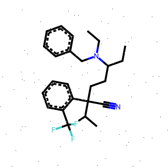 CCC(CCC(C#N)(c1ccccc1C(F)(F)F)C(C)C)N(CC)Cc1ccccc1